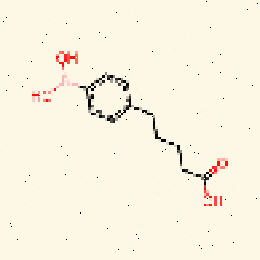 O=C(O)CCCCc1ccc(B(O)O)cc1